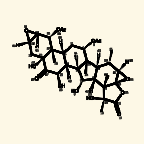 CC(=O)O[C@H]1C[C@H]2[C@H]([C@@H]3[C@@H](O)[C@@H]4[C@H]([C@H](C)[C@H]5O[C@]56OC(=O)[C@@](C)(O)[C@]46C)[C@]31C)[C@@H](O)C(=O)[C@@]1(O)C[C@@H]3O[C@@H]3[C@H](OC(C)=O)[C@]21C